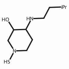 CC(C)CCNC1CCN(S)CC1O